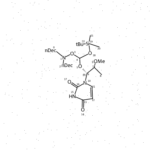 CCCCCCCCCCN(CCCCCCCCCC)OC(O[C@H](C(C)OC)n1ccc(=O)[nH]c1=O)O[Si](C)(C)C(C)(C)C